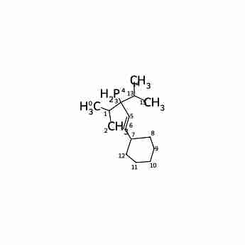 CC(C)C(P)(C=CC1CCCCC1)C(C)C